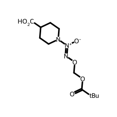 CC(C)(C)C(=O)OCON=[N+]([O-])N1CCC(C(=O)O)CC1